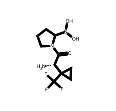 N[C@H](C(=O)N1CCCC1B(O)O)C1(C(F)(F)F)CC1